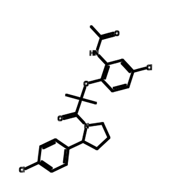 CC(=O)Nc1cc(Cl)ccc1OC(C)(C)C(=O)N1CCCC1c1ccc(Cl)cc1